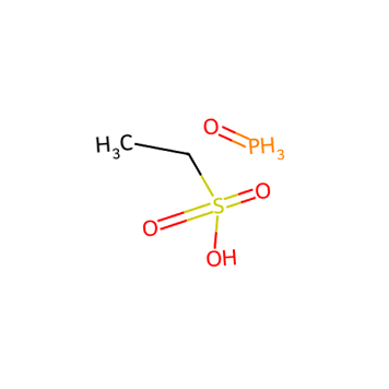 CCS(=O)(=O)O.O=[PH3]